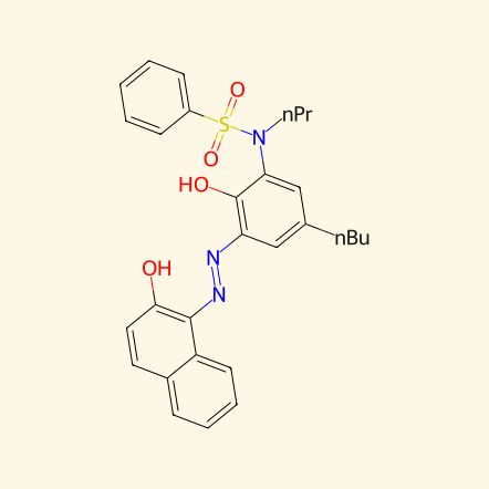 CCCCc1cc(N=Nc2c(O)ccc3ccccc23)c(O)c(N(CCC)S(=O)(=O)c2ccccc2)c1